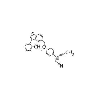 CC#C[C@@H](CC#N)c1ccc(OCc2ccc3scc(-c4ccccc4C)c3c2)cc1